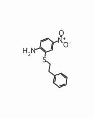 Nc1ccc([N+](=O)[O-])cc1SCCc1ccccc1